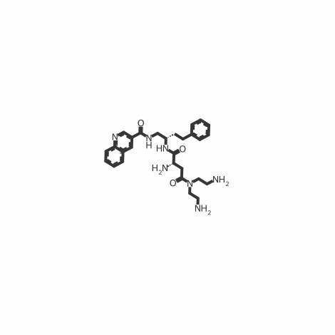 NCCN(CCN)C(=O)C[C@H](N)C(=O)N[C@@H](CCc1ccccc1)CNC(=O)c1cnc2ccccc2c1